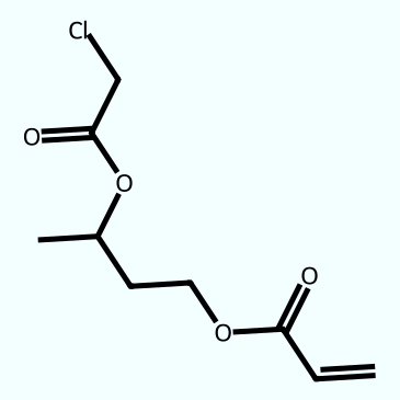 C=CC(=O)OCCC(C)OC(=O)CCl